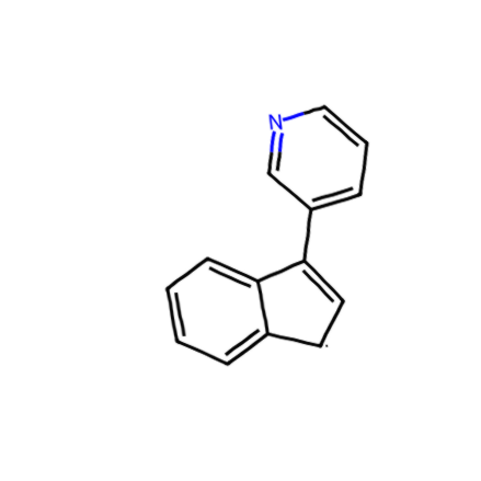 [CH]1C=C(c2cccnc2)c2ccccc21